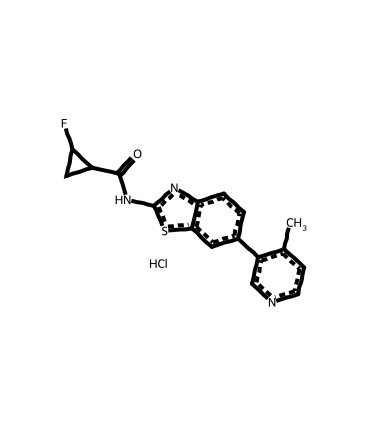 Cc1ccncc1-c1ccc2nc(NC(=O)C3CC3F)sc2c1.Cl